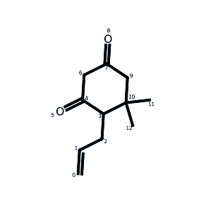 C=CCC1C(=O)CC(=O)CC1(C)C